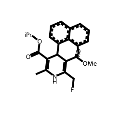 COC(=O)C1=C(CF)NC(C)=C(C(=O)OC(C)C)C1c1cccc2cccc(F)c12